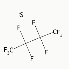 FC(F)(F)C(F)(F)C(F)(F)C(F)(F)F.[S]